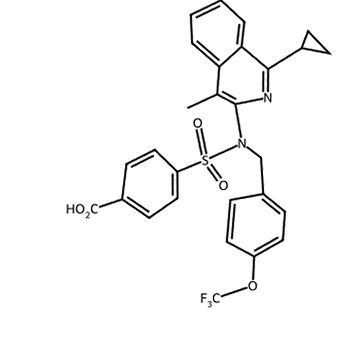 Cc1c(N(Cc2ccc(OC(F)(F)F)cc2)S(=O)(=O)c2ccc(C(=O)O)cc2)nc(C2CC2)c2ccccc12